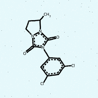 CC1CCn2c(=O)n(-c3cc(Cl)cc(Cl)c3)c(=O)n21